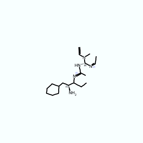 C=CN(C)[C@H](/N=C\C)N/C(C)=N/C(CC)[C@@H](N)CC1CCCCC1